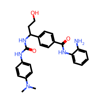 CN(C)c1ccc(NC(=O)NC(CCO)c2ccc(C(=O)Nc3ccccc3N)cc2)cc1